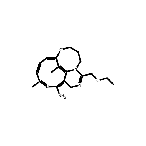 CCOCC1=NCc2c(N)nc(C)cccc3c(C)c2N1CCCO3